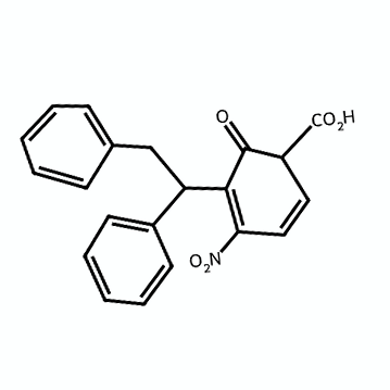 O=C(O)C1C=CC([N+](=O)[O-])=C(C(Cc2ccccc2)c2ccccc2)C1=O